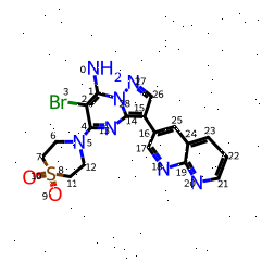 Nc1c(Br)c(N2CCS(=O)(=O)CC2)nc2c(-c3cnc4ncccc4c3)cnn12